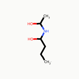 [CH2]CCC(O)NC(C)O